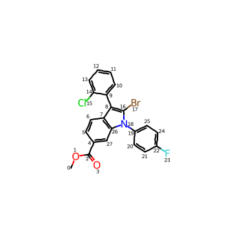 COC(=O)c1ccc2c(-c3ccccc3Cl)c(Br)n(-c3ccc(F)cc3)c2c1